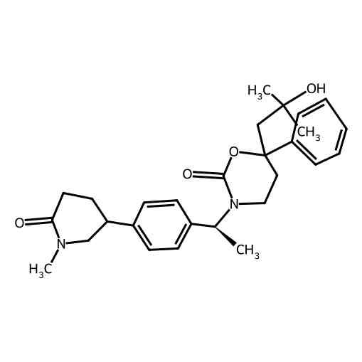 C[C@@H](c1ccc(C2CCC(=O)N(C)C2)cc1)N1CCC(CC(C)(C)O)(c2ccccc2)OC1=O